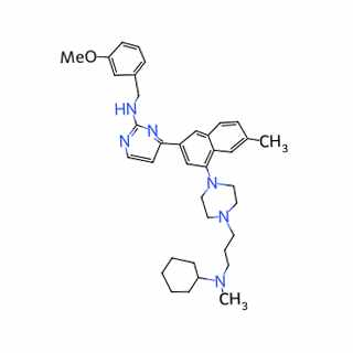 COc1cccc(CNc2nccc(-c3cc(N4CCN(CCCN(C)C5CCCCC5)CC4)c4cc(C)ccc4c3)n2)c1